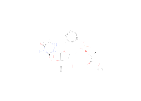 C#CC1(O)[C@@H](O)[C@@H](CO[P@](=O)(Oc2ccccc2)O[C@@H](C)C(=O)OC(C)C)O[C@H]1n1ncc(=O)[nH]c1=O